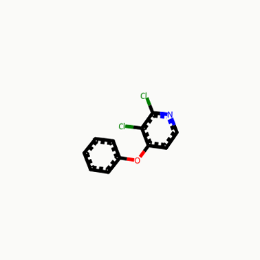 Clc1nccc(Oc2c[c]ccc2)c1Cl